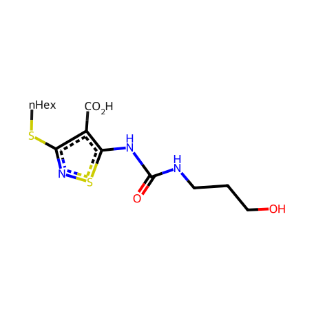 CCCCCCSc1nsc(NC(=O)NCCCO)c1C(=O)O